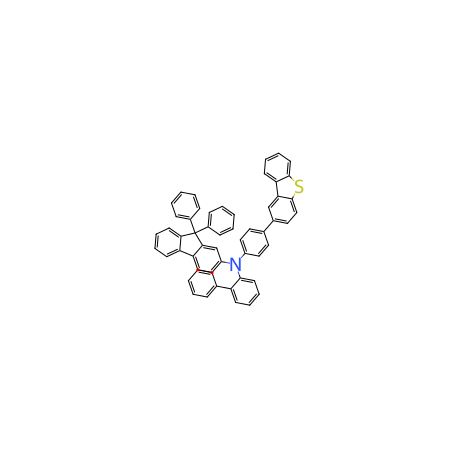 c1ccc(-c2ccccc2N(c2ccc(-c3ccc4sc5ccccc5c4c3)cc2)c2ccc3c(c2)C(c2ccccc2)(c2ccccc2)c2ccccc2-3)cc1